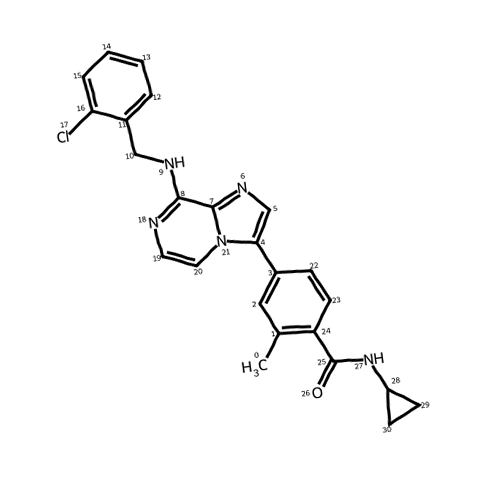 Cc1cc(-c2cnc3c(NCc4ccccc4Cl)nccn23)ccc1C(=O)NC1CC1